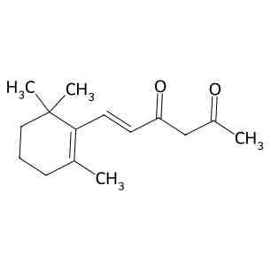 CC(=O)CC(=O)C=CC1=C(C)CCCC1(C)C